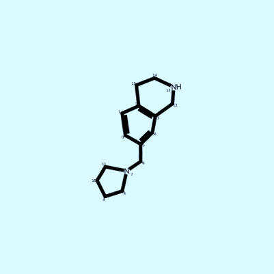 c1cc2c(cc1CN1CCCC1)CNCC2